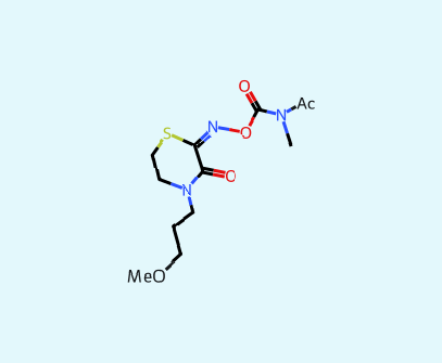 COCCCN1CCSC(=NOC(=O)N(C)C(C)=O)C1=O